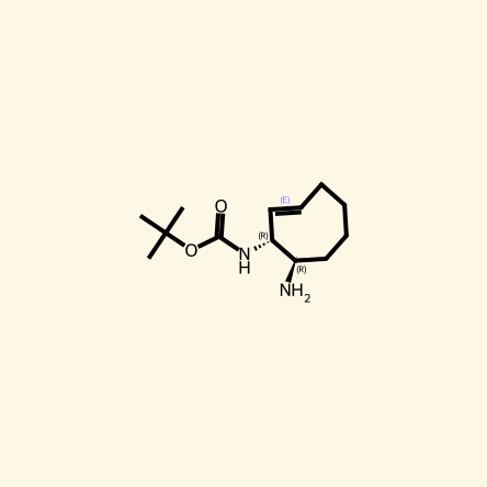 CC(C)(C)OC(=O)N[C@@H]1/C=C/CCCC[C@H]1N